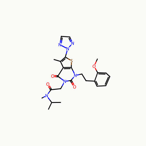 COc1ccccc1CCn1c(=O)n(CC(=O)N(C)C(C)C)c(=O)c2c(C)c(-n3nccn3)sc21